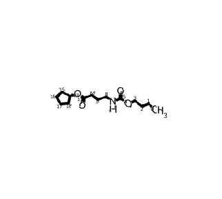 CCCCOC(=O)NCCCC(=O)OC1CCCC1